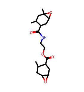 CC1CC2(C)OC2CC1C(=O)NCCOC(=O)C1CC2OC2CC1C